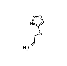 C=CCSc1ccsn1